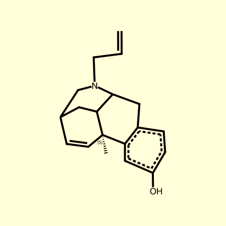 C=CCN1CC2C=C[C@]3(C)c4cc(O)ccc4CC1C3C2